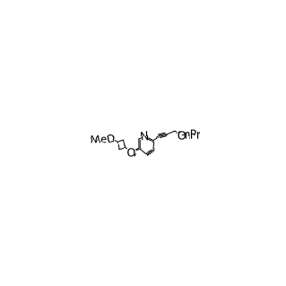 CCCOCC#Cc1ccc(OC2CC(OC)C2)cn1